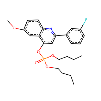 CCCCOP(=O)(OCCCC)Oc1cc(-c2cccc(F)c2)nc2ccc(OC)cc12